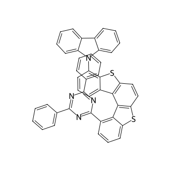 c1ccc(-c2nc(-c3ccccc3)nc(-c3cccc4sc5ccc6sc7c(-n8c9ccccc9c9ccccc98)cccc7c6c5c34)n2)cc1